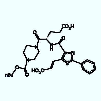 CCCCOC(=O)N1CCN(C(=O)[C@H](CCC(=O)O)NC(=O)c2nc(-c3ccccc3)sc2/C=C/C(=O)O)CC1